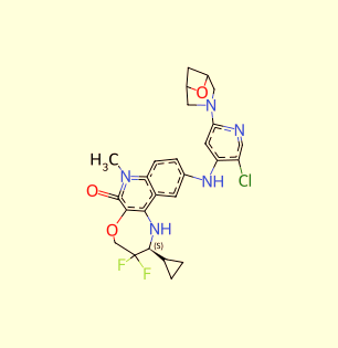 Cn1c(=O)c2c(c3cc(Nc4cc(N5CC6CC(C5)O6)ncc4Cl)ccc31)N[C@@H](C1CC1)C(F)(F)CO2